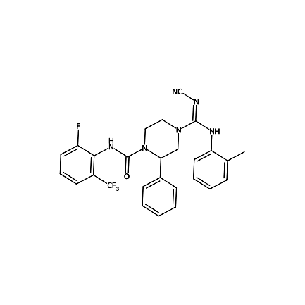 Cc1ccccc1N/C(=N/C#N)N1CCN(C(=O)Nc2c(F)cccc2C(F)(F)F)C(c2ccccc2)C1